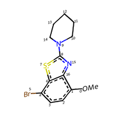 COc1ccc(Br)c2sc(N3CCCCC3)nc12